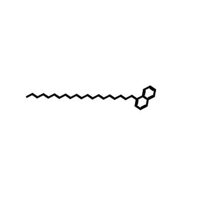 CCCCCCCCCCCCCCCCCCCCc1cccc2ccccc12